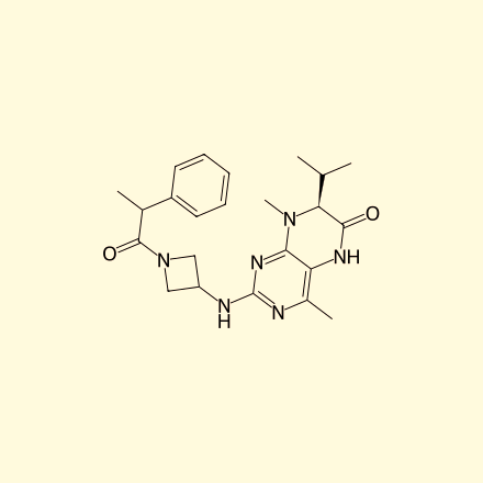 Cc1nc(NC2CN(C(=O)C(C)c3ccccc3)C2)nc2c1NC(=O)[C@H](C(C)C)N2C